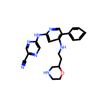 N#Cc1cnc(Nc2cc(NCCC3CNCCO3)c(-c3ccccc3)cn2)cn1